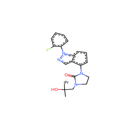 CC(C)C(C)(O)CN1CCN(c2cccc3c2cnn3-c2ccccc2F)C1=O